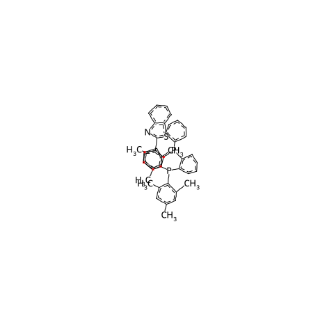 Cc1cc(C)c(P(c2ccccc2P(c2ccccc2)c2ccccc2-c2nc3ccccc3s2)c2c(C)cc(C)cc2C)c(C)c1